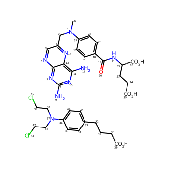 CN(Cc1cnc2nc(N)nc(N)c2n1)c1ccc(C(=O)NC(CCC(=O)O)C(=O)O)cc1.O=C(O)CCCc1ccc(N(CCCl)CCCl)cc1